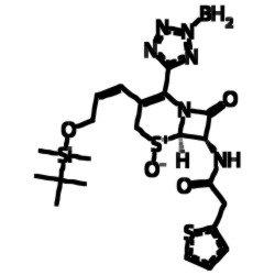 Bn1nnc(C2=C(/C=C\CO[Si](C)(C)C(C)(C)C)C[S+]([O-])[C@@H]3[C@H](NC(=O)Cc4cccs4)C(=O)N23)n1